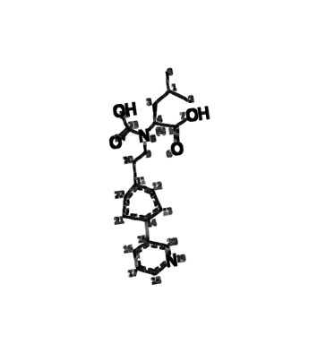 CC(C)C[C@@H](C(=O)O)N(CCc1ccc(-c2cccnc2)cc1)C(=O)O